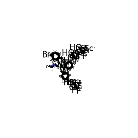 C/C=C/C[Si]1(Cl)N(Cc2ccc(Br)cc2)[C@H]2CCCC[C@@H]2N1Cc1ccc(Br)cc1.O=S(=O)(O)C(F)(F)F.O=S(=O)(O)C(F)(F)F.O=S(=O)(O)C(F)(F)F.[Sc]